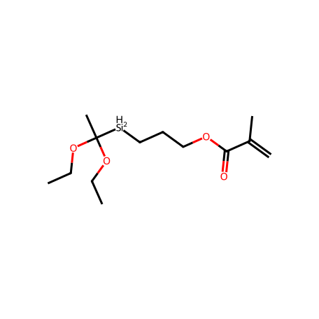 C=C(C)C(=O)OCCC[SiH2]C(C)(OCC)OCC